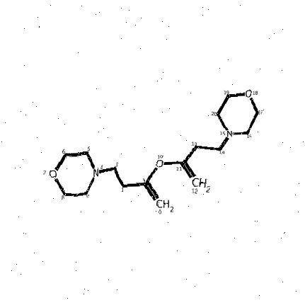 C=C(CCN1CCOCC1)OC(=C)CCN1CCOCC1